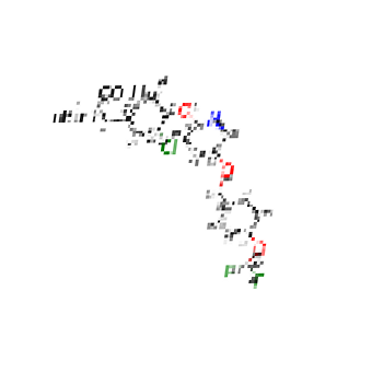 CCCCC(=Cc1cc(C)c(Oc2ccc(OCc3ccc(OC(F)F)cc3)cn2)c(Cl)c1)C(=O)O